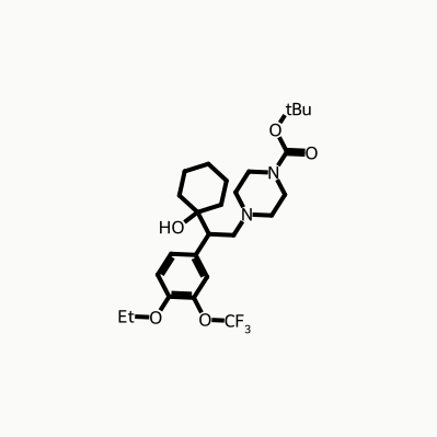 CCOc1ccc(C(CN2CCN(C(=O)OC(C)(C)C)CC2)C2(O)CCCCC2)cc1OC(F)(F)F